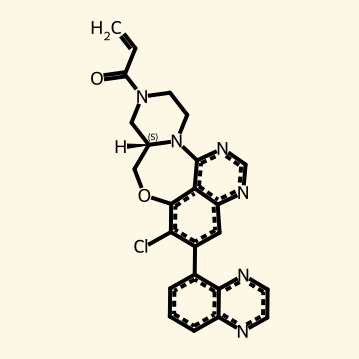 C=CC(=O)N1CCN2c3ncnc4cc(-c5cccc6nccnc56)c(Cl)c(c34)OC[C@@H]2C1